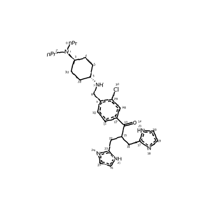 CCCN(CCC)[C@H]1CC[C@H](NCc2ccc(C(=O)C(Cc3ncc[nH]3)Cc3ncc[nH]3)cc2Cl)CC1